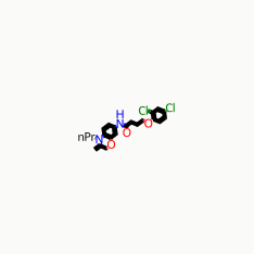 C=C1COc2cc(NC(=O)CCCOc3ccc(Cl)cc3Cl)ccc2N1CCC